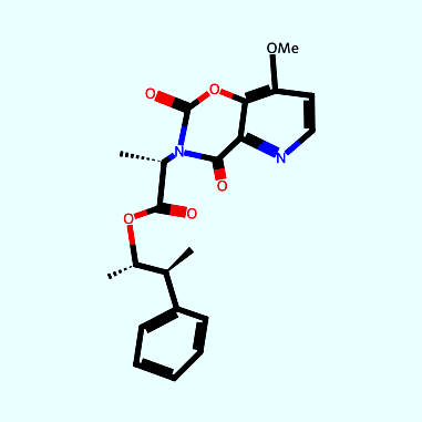 COc1ccnc2c(=O)n([C@@H](C)C(=O)O[C@@H](C)[C@@H](C)c3ccccc3)c(=O)oc12